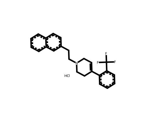 Cl.FC(F)(F)c1ccccc1C1=CCN(CCc2ccc3ccccc3c2)CC1